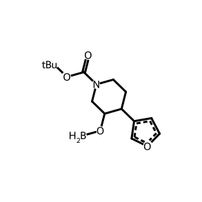 BOC1CN(C(=O)OC(C)(C)C)CCC1c1ccoc1